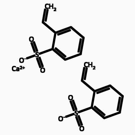 C=Cc1ccccc1S(=O)(=O)[O-].C=Cc1ccccc1S(=O)(=O)[O-].[Ca+2]